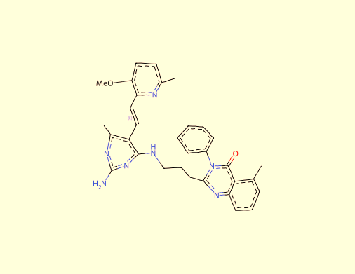 COc1ccc(C)nc1/C=C/c1c(C)nc(N)nc1NCCCc1nc2cccc(C)c2c(=O)n1-c1ccccc1